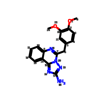 COc1ccc(Cc2nc3ccccc3c3nc(N)nn23)cc1OC